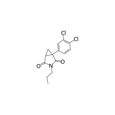 CCCN1C(=O)C2CC2(c2ccc(Cl)c(Cl)c2)C1=O